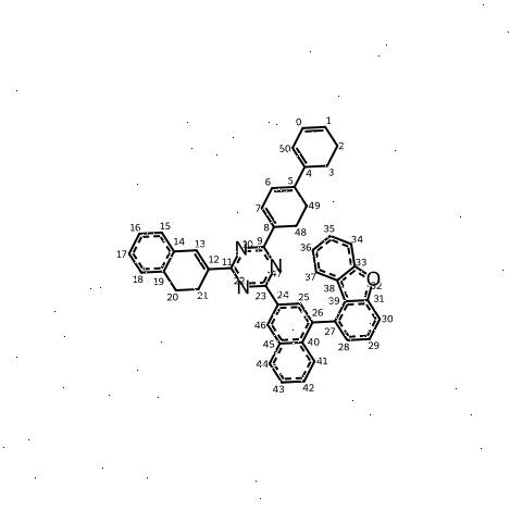 C1=CCCC(C2=CC=C(c3nc(C4=Cc5ccccc5CC4)nc(-c4cc(-c5cccc6oc7ccccc7c56)c5ccccc5c4)n3)CC2)=C1